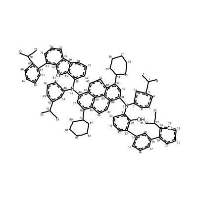 CC(C)c1cccc(N(c2cccc(-c3cccc(-c4ccccc4C(C)C)c3)c2O)c2cc(C3CCCCC3)c3ccc4c(N(c5cccc(C(C)C)c5)c5cccc6c5oc5c(-c7ccccc7C(C)C)cccc56)cc(C5CCCCC5)c5ccc2c3c54)c1